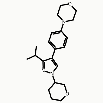 CC(C)c1nn(C2CCCOC2)cc1-c1ccc(N2CCOCC2)cc1